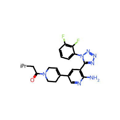 CC(C)CC(=O)N1CC=C(c2cnc(N)c(-c3nnnn3-c3cccc(F)c3F)c2)CC1